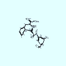 O=C(O)C1Cc2ccccc2C(C(=O)Nc2cc(Cl)cc(Cl)c2)N1